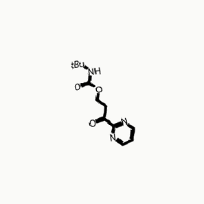 CC(C)(C)NC(=O)OCCC(=O)c1ncccn1